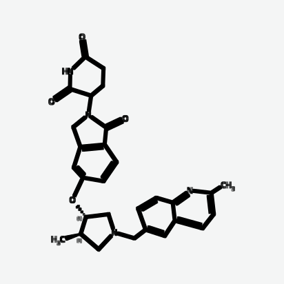 Cc1ccc2cc(CN3C[C@@H](C)[C@H](Oc4ccc5c(c4)CN(C4CCC(=O)NC4=O)C5=O)C3)ccc2n1